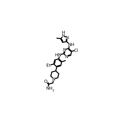 CCc1cc(Nc2ncc(Cl)c(Nc3cc(C)[nH]n3)n2)c(C)cc1C1CCN(CC(N)=O)CC1